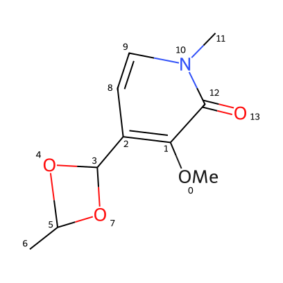 COc1c(C2OC(C)O2)ccn(C)c1=O